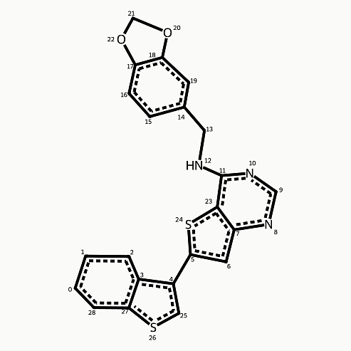 c1ccc2c(-c3cc4ncnc(NCc5ccc6c(c5)OCO6)c4s3)csc2c1